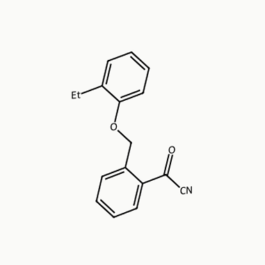 CCc1ccccc1OCc1ccccc1C(=O)C#N